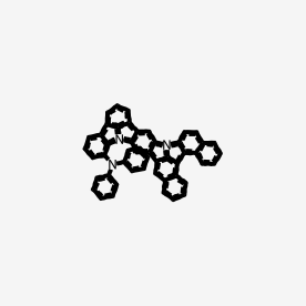 c1ccc(N(c2ccccc2)c2cccc3c4cccc5c6cc7c(cc6n(c23)c54)c2cc3ccccc3c3c4c5ccccc5ccc4n7c23)cc1